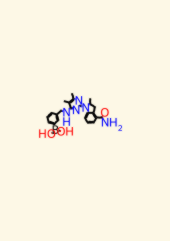 Cc1nc(N2c3cccc(C(N)=O)c3CC2C)nc(NCc2cccc(B(O)O)c2)c1C